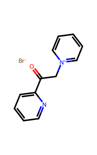 O=C(C[n+]1ccccc1)c1ccccn1.[Br-]